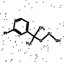 CC(C)c1cccc(C(C)(C)OOO)c1